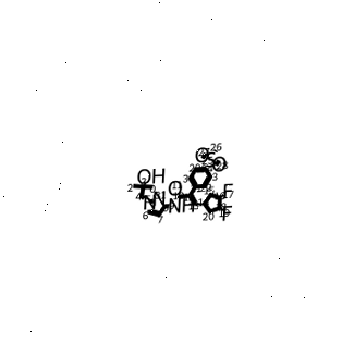 CC(C)(O)Cn1ccc(NC(=O)/C(=C/[C@H]2C[C@@H](F)[C@@H](F)C2)c2ccc(S(C)(=O)=O)cc2)n1